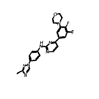 Cc1ncn(-c2ccc(Nc3nccc(-c4cc(F)c(F)c(N5CCOCC5)c4)n3)cc2)n1